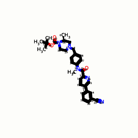 C[C@H]1CN(Cc2ccc(N(C)C(=O)c3ccc(-c4cccc(C#N)c4)cn3)cc2)CCN1C(=O)OC(C)(C)C